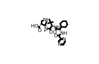 CN(C(=O)[C@@H](NC(=O)[C@@H](NC(=O)c1cnccn1)C1CCCCC1)C(C)(C)C)[C@H]1CNC[C@H]1C(=O)O